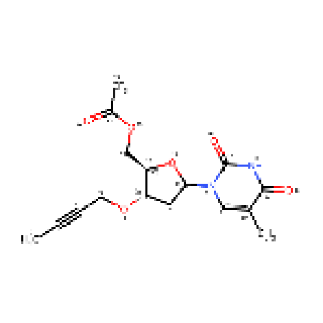 CC#CCO[C@H]1C[C@H](n2cc(C)c(=O)[nH]c2=O)O[C@@H]1COC(=O)C(F)(F)F